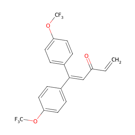 C=CC(=O)C=C(c1ccc(OC(F)(F)F)cc1)c1ccc(OC(F)(F)F)cc1